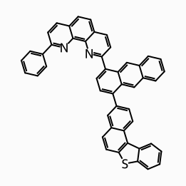 c1ccc(-c2ccc3ccc4ccc(-c5ccc(-c6ccc7c(ccc8sc9ccccc9c87)c6)c6cc7ccccc7cc56)nc4c3n2)cc1